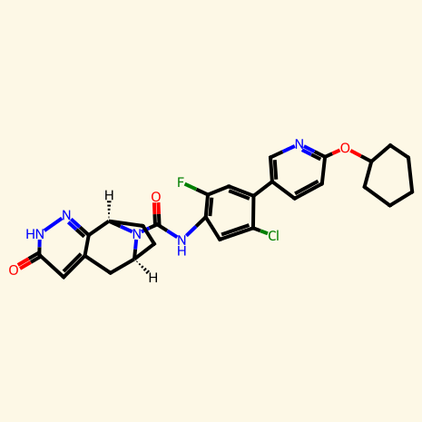 O=C(Nc1cc(Cl)c(-c2ccc(OC3CCCCC3)nc2)cc1F)N1[C@H]2CC[C@@H]1c1n[nH]c(=O)cc1C2